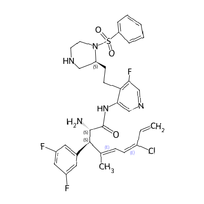 C=C/C(Cl)=C\C=C(/C)[C@@H](c1cc(F)cc(F)c1)[C@H](N)C(=O)Nc1cncc(F)c1CC[C@H]1CNCCN1S(=O)(=O)c1ccccc1